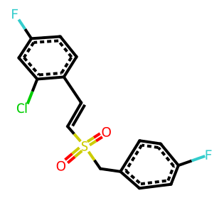 O=S(=O)(C=Cc1ccc(F)cc1Cl)Cc1ccc(F)cc1